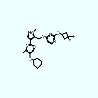 Cc1nc(-c2cnn(C)c2CNc2ccnc(OC3CC(F)(F)C3)n2)ncc1OC1CCCCC1